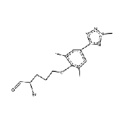 Cc1cc(-c2nnn(C)n2)cc(C)c1OCCCC(Br)C=O